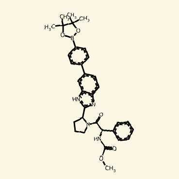 COC(=O)N[C@@H](C(=O)N1CCCC1c1nc2ccc(-c3ccc(B4OC(C)(C)C(C)(C)O4)cc3)cc2[nH]1)c1ccccc1